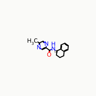 Cc1cnc(C(=O)N[C@H]2CCCc3ccccc32)cn1